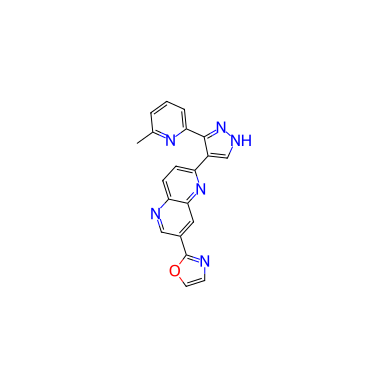 Cc1cccc(-c2n[nH]cc2-c2ccc3ncc(-c4ncco4)cc3n2)n1